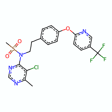 Cc1ncnc(N(CCc2ccc(Oc3ccc(C(F)(F)F)cn3)cc2)S(C)(=O)=O)c1Cl